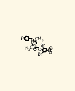 C[C@@H]1CN(C(=O)COc2c(Br)cc([N+](=O)[O-])cc2Br)[C@@H](C)CN1Cc1ccc(F)cc1